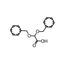 O=C(O)C(OCc1ccccc1)OCc1ccccc1